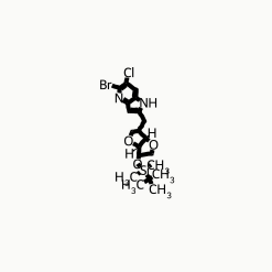 CC(C)(C)[Si](C)(C)OC1CO[C@@H]2C(Cc3cc4nc(Br)c(Cl)cc4[nH]3)CO[C@H]12